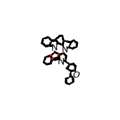 c1ccc(-c2cc(-n3c4ccccc4c4ccc5c6ccccc6n(-c6ccccc6)c5c43)cc(-c3ccc4oc5ccccc5c4c3)n2)cc1